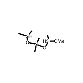 CO[SiH](C)O[Si](C)(C)O[SiH](C)C